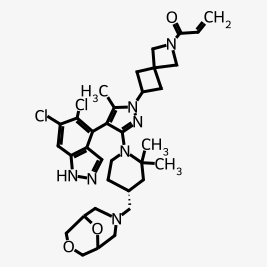 C=CC(=O)N1CC2(CC(n3nc(N4CC[C@@H](CN5CC6COCC(C5)O6)CC4(C)C)c(-c4c(Cl)c(Cl)cc5[nH]ncc45)c3C)C2)C1